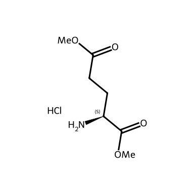 COC(=O)CC[C@H](N)C(=O)OC.Cl